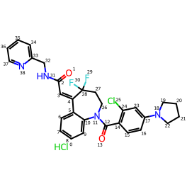 Cl.O=C(/C=C1/c2ccccc2N(C(=O)c2ccc(N3CCCC3)cc2Cl)CCC1(F)F)NCc1ccccn1